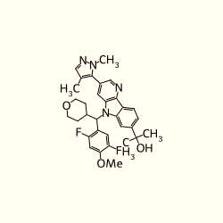 COc1cc(F)c(C(C2CCOCC2)n2c3cc(C(C)(C)O)ccc3c3ncc(-c4c(C)cnn4C)cc32)cc1F